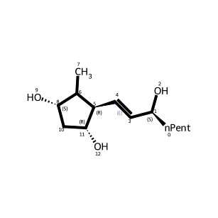 CCCCC[C@H](O)/C=C/[C@@H]1C(C)[C@@H](O)C[C@H]1O